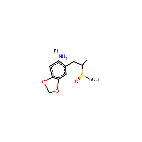 CCCCCCCCS(=O)C(C)Cc1ccc2c(c1)OCO2.N.[Pt]